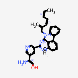 C=C(/C=C\C=C/C)CN/C(=N/C(=N)c1cncc(/C(N)=C/O)c1)c1c(C)cccc1-c1ccccc1